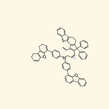 C=CC1=C(/C=C\CN(c2ccc(C3=CCCc4c3oc3c4CCC=C3)cc2)c2ccc(-c3cccc4c3oc3ccccc34)cc2)C(c2ccccc2)(c2ccccc2)C2=C1c1sc3ccccc3c1CC2